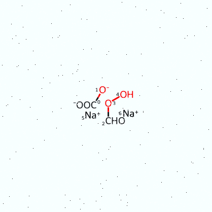 O=C([O-])[O-].O=COO.[Na+].[Na+]